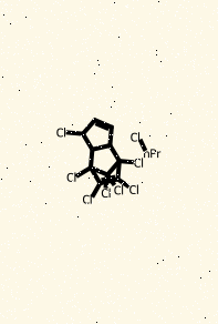 CCCCl.ClC1=C(Cl)C2(Cl)C3C(Cl)C=CC3C1(Cl)C2(Cl)Cl